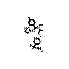 CCN(C(=O)c1ccc(C)cc1-n1nccn1)[C@@H](C)CNc1ncc(C(F)(F)P)cn1